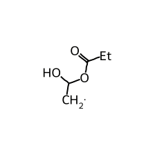 [CH2]C(O)OC(=O)CC